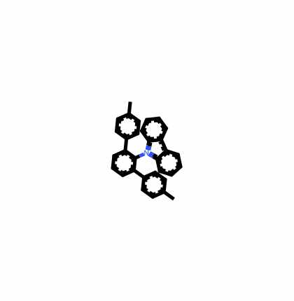 Cc1ccc(-c2cccc(-c3ccc(C)cc3)c2-n2c3ccccc3c3ccccc32)cc1